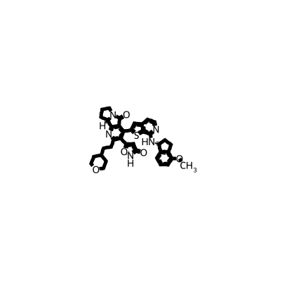 COc1cccc2c1CC[C@H]2Nc1nccc2cc(-c3c4c(nc(CCC5CCOCC5)c3-c3cc(=O)[nH]o3)[C@@H]3CCCN3C4=O)sc12